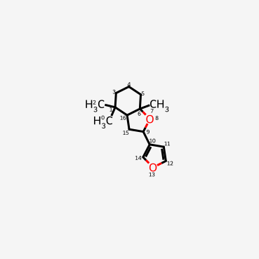 CC1(C)CCCC2(C)OC(c3ccoc3)CC12